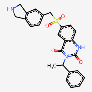 CC(c1ccccc1)n1c(=O)[nH]c2ccc(S(=O)(=O)Cc3ccc4c(c3)CNC4)cc2c1=O